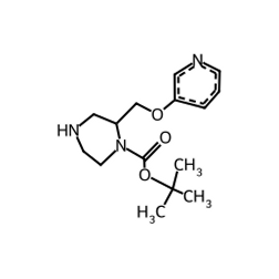 CC(C)(C)OC(=O)N1CCNCC1COc1cccnc1